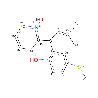 CSc1ccc(O)c(C(C=C(C)C)c2cccc[n+]2[O-])c1